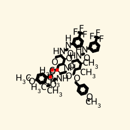 CC[C@H](NC(=O)OC(C)(C)C)C(=O)N[C@H]1C(COCc2ccc(OC)cc2)OCC(NC(=O)Nc2cccc(C(F)(F)F)c2)[C@H]1O[C@@H]1OC(COCc2ccc(OC)cc2)[C@@H](C)[C@H](C)C1NC(=O)Nc1cccc(C(F)(F)F)c1